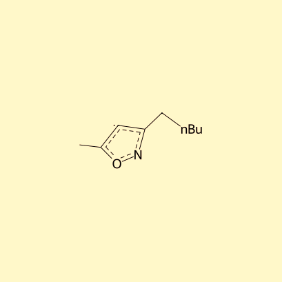 CCCCCc1[c]c(C)on1